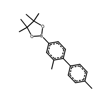 Cc1ccc(-c2ccc(B3OC(C)(C)C(C)(C)O3)cc2C)cc1